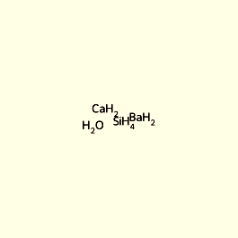 O.[BaH2].[CaH2].[SiH4]